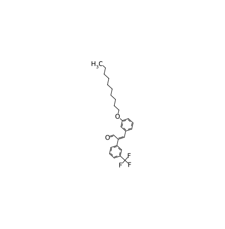 CCCCCCCCCCOc1cccc(C=C(C=O)c2cccc(C(F)(F)F)c2)c1